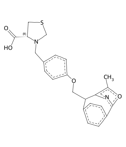 Cc1oc2nc1C(COc1ccc(CN3CSC[C@H]3C(=O)O)cc1)c1ccc-2cc1